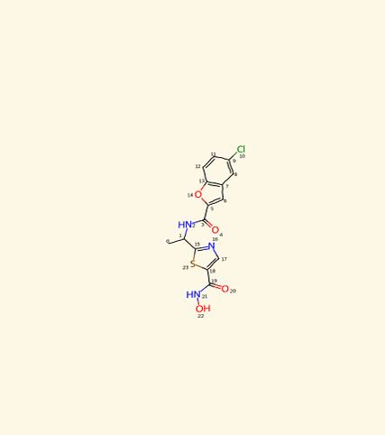 CC(NC(=O)c1cc2cc(Cl)ccc2o1)c1ncc(C(=O)NO)s1